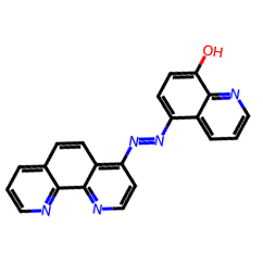 Oc1ccc(N=Nc2ccnc3c2ccc2cccnc23)c2cccnc12